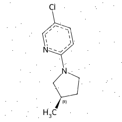 C[C@@H]1CCN(c2ccc(Cl)cn2)C1